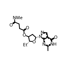 CC[C@H]1O[C@@H](n2ncc3c(=O)[nH]c(C)nc32)CC1OC(=O)CCC(=O)NC